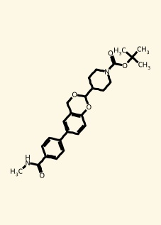 CNC(=O)c1ccc(-c2ccc3c(c2)COC(C2CCN(C(=O)OC(C)(C)C)CC2)O3)cc1